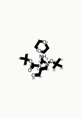 C1COCCO1.CC(C)(C)OC(=O)N1C(C=O)=CN(OC(C)(C)C)C1N